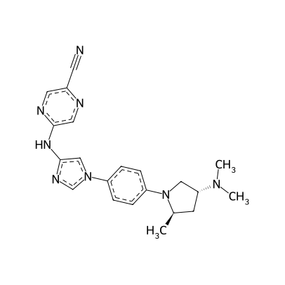 C[C@@H]1C[C@@H](N(C)C)CN1c1ccc(-n2cnc(Nc3cnc(C#N)cn3)c2)cc1